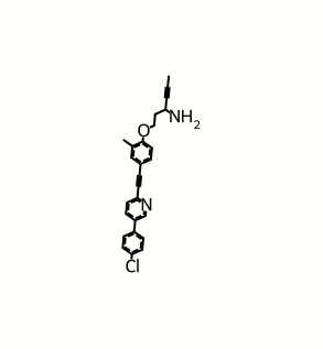 CC#CC(N)CCOc1ccc(C#Cc2ccc(-c3ccc(Cl)cc3)cn2)cc1C